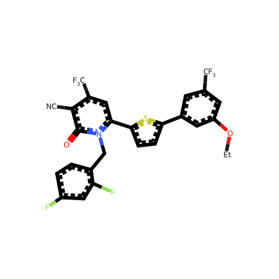 CCOc1cc(-c2ccc(-c3cc(C(F)(F)F)c(C#N)c(=O)n3Cc3ccc(F)cc3F)s2)cc(C(F)(F)F)c1